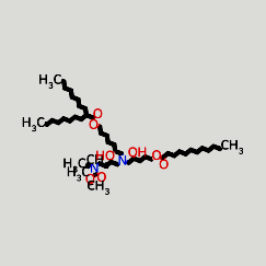 CCCCCCCCCCCC(=O)OCCCC(O)CN(CCCCN(C(=O)OC)C(C)(C)C)CC(O)CCCCCOC(=O)C(CCCCCCCC)CCCCCCCC